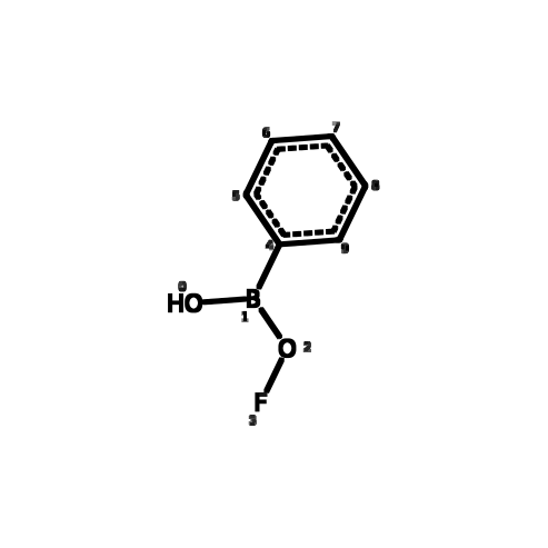 OB(OF)c1ccccc1